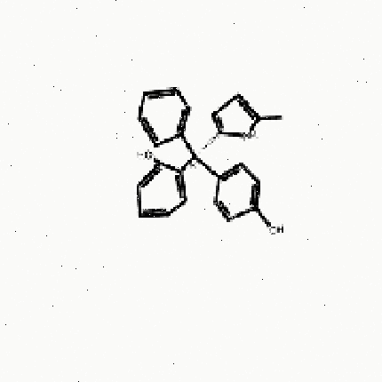 Cc1ccc([C@](c2ccccc2)(c2ccc(O)cc2)c2ccccc2O)[nH]1